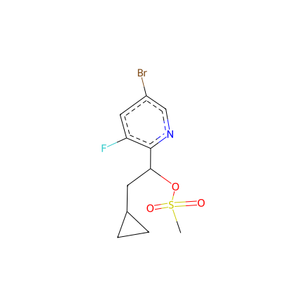 CS(=O)(=O)OC(CC1CC1)c1ncc(Br)cc1F